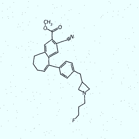 COC(=O)c1cc2c(cc1C#N)C(c1ccc(CC3CN(CCCF)C3)cc1)=CCCC2